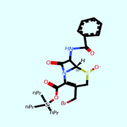 CCC[Si](CCC)(CCC)OC(=O)C1=C(CBr)C[S+]([O-])[C@H]2C(NC(=O)c3ccccc3)C(=O)N12